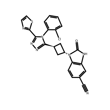 N#Cc1ccc2c(c1)[nH]c(=O)n2[C@H]1C[C@H](c2nnc(-c3nccs3)n2-c2ccccc2Cl)C1